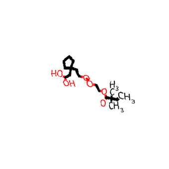 CCC(C)(C)C(=O)OCCOOCCC1(CC(O)O)CCCC1